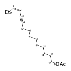 CC/C=C\C#CCCCCCCCCCOC(C)=O